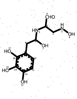 O=CC(CNO)NC(O)Cc1ccc(O)c(O)c1O